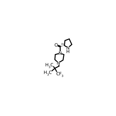 CC(C)(CN1CCN(C(=O)[C@@H]2CCCN2)CC1)C(F)(F)F